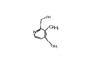 OCc1ccnc(CO)c1O